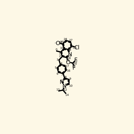 Cc1c(Cc2ccc(-c3ccn(C(C)C)n3)cc2)c(OC(F)F)nc2c(Cl)ccc([O])c12